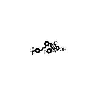 O=C(NCc1cccc(CCCc2ccc(C(F)(F)F)cc2)c1)C1CC(O)CN1S(=O)(=O)c1ccc(F)cc1